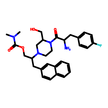 CN(C)C(=O)OCC(Cc1ccc2ccccc2c1)N1CCN(C(=O)C(N)Cc2ccc(F)cc2)C(CO)C1